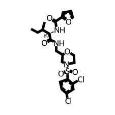 CCC(C)[C@H](NC(=O)c1ccco1)C(=O)NCC1CN(S(=O)(=O)c2ccc(Cl)cc2Cl)CCO1